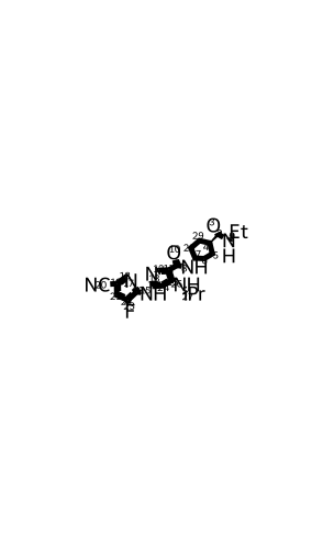 CCNC(=O)[C@H]1CC[C@H](NC(=O)c2cnc(Nc3ncc(C#N)cc3F)cc2NC(C)C)CC1